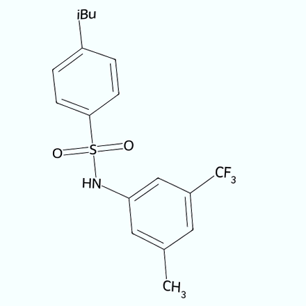 CCC(C)c1ccc(S(=O)(=O)Nc2cc(C)cc(C(F)(F)F)c2)cc1